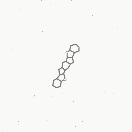 C1CCC2C(C1)SC1C3CC4CC5C6CCCCC6SC5C4CC3CC21